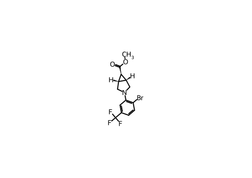 COC(=O)[C@H]1[C@@H]2CN(c3cc(C(F)(F)F)ccc3Br)C[C@@H]21